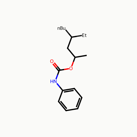 CCCCC(CC)CC(C)OC(=O)Nc1ccccc1